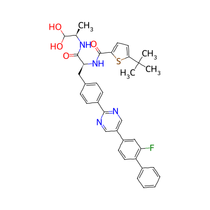 C[C@@H](NC(=O)[C@H](Cc1ccc(-c2ncc(-c3ccc(-c4ccccc4)c(F)c3)cn2)cc1)NC(=O)c1ccc(C(C)(C)C)s1)C(O)O